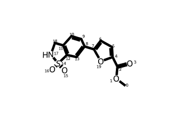 COC(=O)c1ccc(-c2ccc3c(c2)S(=O)(=O)NC3)o1